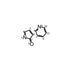 O=C1C=CC=N1.c1ccncc1